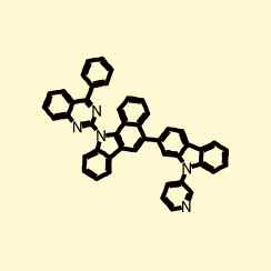 c1ccc(-c2nc(-n3c4ccccc4c4cc(-c5ccc6c7ccccc7n(-c7cccnc7)c6c5)c5ccccc5c43)nc3ccccc23)cc1